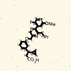 COc1cc(-c2ncc(COc3cccc(C(CC(=O)O)C4CC4)c3)nc2CC(C)C)c(F)cn1